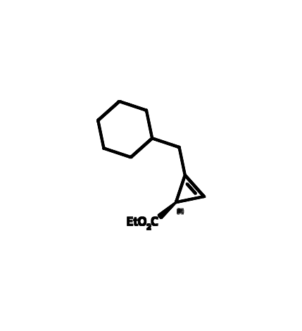 CCOC(=O)[C@@H]1C=C1CC1CCCCC1